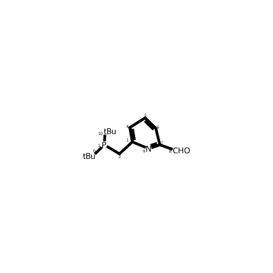 CC(C)(C)P(Cc1cccc(C=O)n1)C(C)(C)C